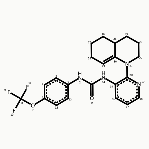 O=C(Nc1ccc(OC(F)(F)F)cc1)Nc1cccnc1N1CCCC2CCCC=C21